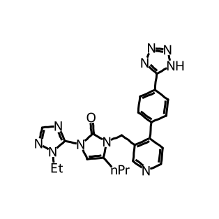 CCCc1cn(-c2ncnn2CC)c(=O)n1Cc1cnccc1-c1ccc(-c2nnn[nH]2)cc1